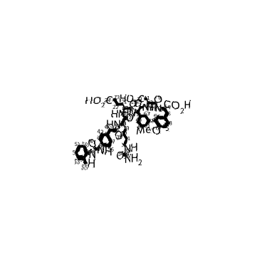 COc1ccc(C[C@@H](NC(=O)[C@H](CC(=O)O)NC(=O)[C@H](NC(=O)[C@H](CCCC(=O)O)NC(=O)[C@H](CCCCNC(N)=O)NC(=O)Cc2ccc(NC(=O)Nc3ccccc3C)cc2)C2CCCCC2)C(=O)O)cc1